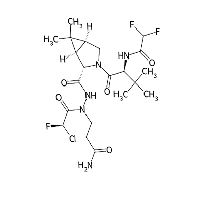 CC(C)(C)[C@H](NC(=O)C(F)F)C(=O)N1C[C@H]2[C@@H]([C@H]1C(=O)NN(CCC(N)=O)C(=O)[C@H](F)Cl)C2(C)C